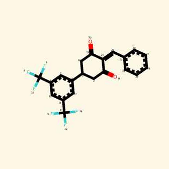 O=C1CC(c2cc(C(F)(F)F)cc(C(F)(F)F)c2)CC(=O)C1=Cc1ccccc1